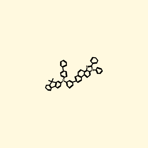 CC1(C)C2=C(C=CCC2)c2ccc(N(c3ccc(-c4ccccc4)cc3)c3cccc(-c4ccc5c(ccc6c5ccc5c6nc(C6=CCCC=C6)n5-c5ccccc5)c4)c3)cc21